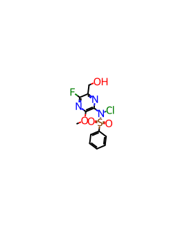 COc1nc(F)c(CO)nc1N(Cl)S(=O)(=O)c1ccccc1